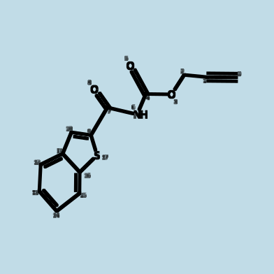 C#CCOC(=O)NC(=O)c1cc2ccccc2s1